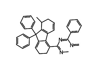 C=N/C(=N\C(=N/C)C1=C2C(=CCC1)C(c1ccccc1)(c1ccccc1)C1=C2C=CCC1C)c1ccccc1